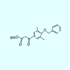 COC(=O)CC(=O)c1cc(C)c(OCc2ccccc2)c(C)c1